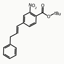 CC(C)(C)OC(=O)c1ccc(/C=C/Cc2ccccc2)cc1[N+](=O)[O-]